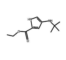 CCOC(=O)c1cc(NC(C)(C)C)c[nH]1